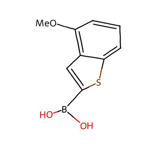 COc1cccc2sc(B(O)O)cc12